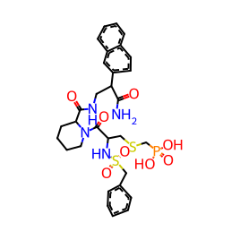 NC(=O)C(CNC(=O)C1CCCCN1C(=O)C(CSCP(=O)(O)O)NS(=O)(=O)Cc1ccccc1)c1ccc2ccccc2c1